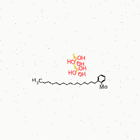 CCCCCCCCCCCCCCCCc1cccc[c]1[Mo].OP(O)(O)=S.OP(O)(O)=S